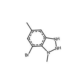 Cc1cc(Br)c2c(c1)NNN2C